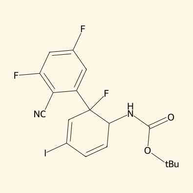 CC(C)(C)OC(=O)NC1C=CC(I)=CC1(F)c1cc(F)cc(F)c1C#N